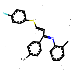 Cc1ccccc1N=C(C=CSc1ccc(F)cc1)c1ccc(C(F)(F)F)cc1